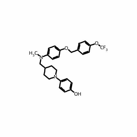 CN(CC1CCN(c2ccc(O)cc2)CC1)c1ccc(OCc2ccc(OC(F)(F)F)cc2)cc1